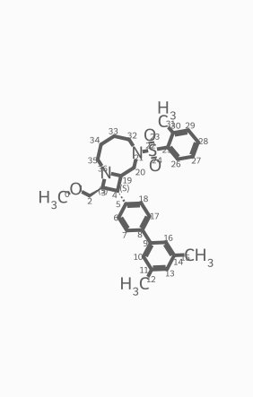 COC[C@@H]1[C@@H](c2ccc(-c3cc(C)cc(C)c3)cc2)C2CN(S(=O)(=O)c3ccccc3C)CCCCN21